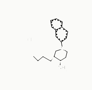 CCCC[C@H]1CN(c2ccc3ccccc3c2)CC[C@H]1N.Cl